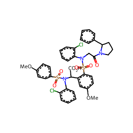 COc1ccc(S(=O)(=O)N(c2ccccc2Cl)C(C(=O)O)c2cc(OC)ccc2S(=O)(=O)N(CC(=O)N2CCCC2c2ccccc2)c2ccccc2Cl)cc1